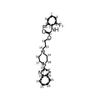 O=C(Nc1c(F)cccc1F)OCCCN1CCN(c2nc3ccccc3s2)CC1